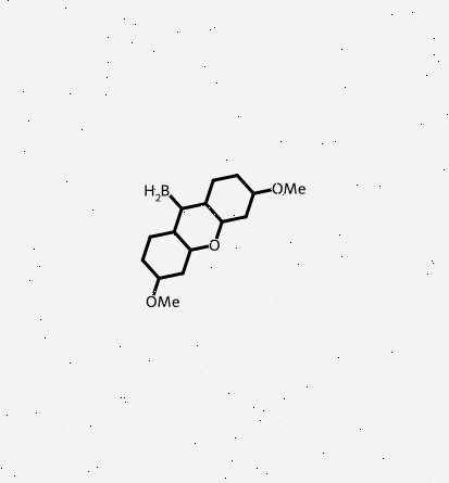 BC1C2CCC(OC)CC2OC2CC(OC)CCC21